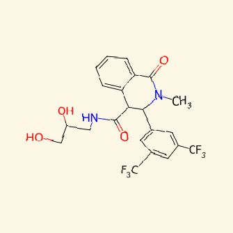 CN1C(=O)c2ccccc2C(C(=O)NCC(O)CO)C1c1cc(C(F)(F)F)cc(C(F)(F)F)c1